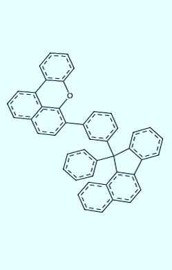 c1ccc(C2(c3cccc(-c4ccc5cccc6c5c4Oc4ccccc4-6)c3)c3ccccc3-c3ccc4ccccc4c32)cc1